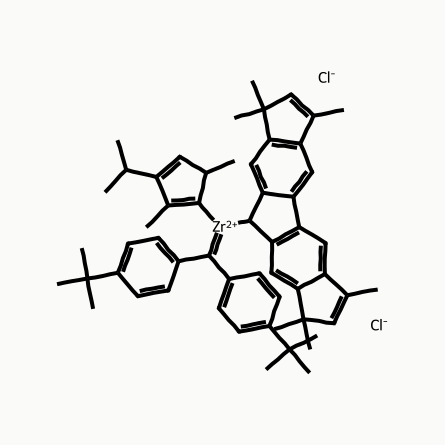 CC1=CC(C)(C)c2cc3c(cc21)-c1cc2c(cc1[CH]3[Zr+2]([C]1=C(C)C(C(C)C)=CC1C)=[C](c1ccc(C(C)(C)C)cc1)c1ccc(C(C)(C)C)cc1)C(C)(C)C=C2C.[Cl-].[Cl-]